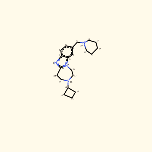 c1cc2nc3n(c2cc1CN1CCCCC1)CCN(C1CCC1)CC3